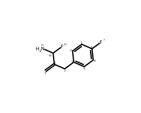 C=C(Cc1ccc(F)cc1)C(N)F